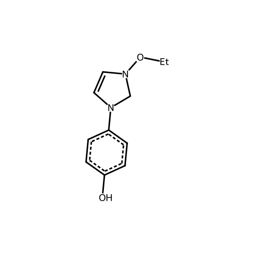 CCON1C=CN(c2ccc(O)cc2)C1